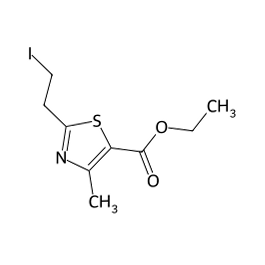 CCOC(=O)c1sc(CCI)nc1C